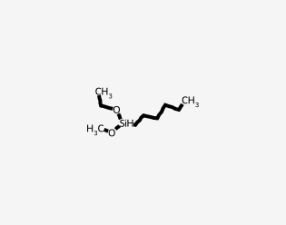 CCCCCC[SiH](OC)OCC